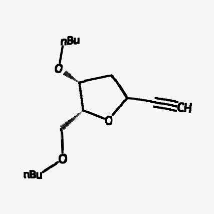 C#CC1C[C@@H](OCCCC)[C@@H](COCCCC)O1